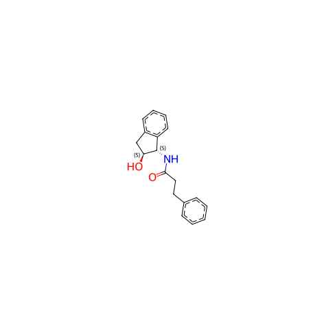 O=C(CCc1ccccc1)N[C@H]1c2ccccc2C[C@@H]1O